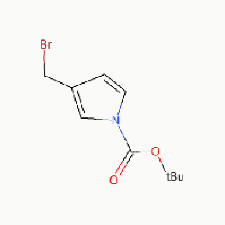 CC(C)(C)OC(=O)n1ccc(CBr)c1